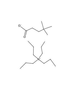 CC(C)(C)CCC(=O)[O-].CCC[N+](CCC)(CCC)CCC